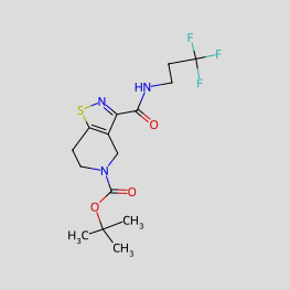 CC(C)(C)OC(=O)N1CCc2snc(C(=O)NCCC(F)(F)F)c2C1